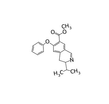 COC(=O)c1cc2c(cc1Oc1ccccc1)CC(C(C)C)N=C2